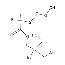 CCC(CO)(CO)COC(=O)C(F)(F)SOOO